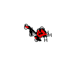 CC[C@H](NC(=O)C(C[C@H](C)CCCCCCN(Cc1ccc(C(=O)OC)cc1)Cc1ccc(C(=O)OC)cc1)N(C)C(=O)[C@H](C(C)C)N(C)C(=O)[C@H](CC(C)C)N(C)C(=O)[C@H](CC(C)C)N(C)C=O)C(=O)N(C)[C@H](CSCCCCO)C(=O)N(C)[C@@H](CC(C)C)C(=O)N[C@H](C(=O)N(C)[C@@H](CC(C)C)C(=O)N[C@@H](C)C(=O)NC)C(C)C